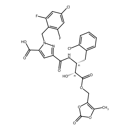 Cc1oc(=O)oc1COC(=O)[C@H](O)[C@@H](Cc1ccccc1Cl)NC(=O)c1cc(C(=O)O)n(Cc2c(F)cc(Cl)cc2F)n1